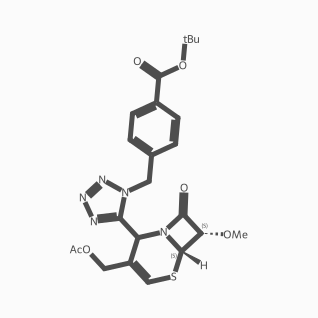 CO[C@H]1C(=O)N2C(c3nnnn3Cc3ccc(C(=O)OC(C)(C)C)cc3)C(COC(C)=O)=CS[C@@H]12